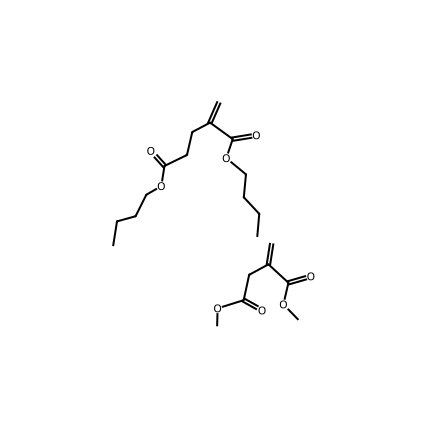 C=C(CC(=O)OC)C(=O)OC.C=C(CCC(=O)OCCCC)C(=O)OCCCC